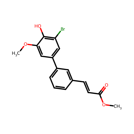 COC(=O)C=Cc1cccc(-c2cc(Br)c(O)c(OC)c2)c1